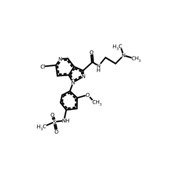 COc1cc(NS(C)(=O)=O)ccc1-n1nc(C(=O)NCCN(C)C)c2cnc(Cl)cc21